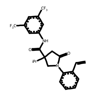 C=Cc1ccccc1N1CC(C(=O)Nc2cc(C(F)(F)F)cc(C(F)(F)F)c2)(C(C)C)CC1=O